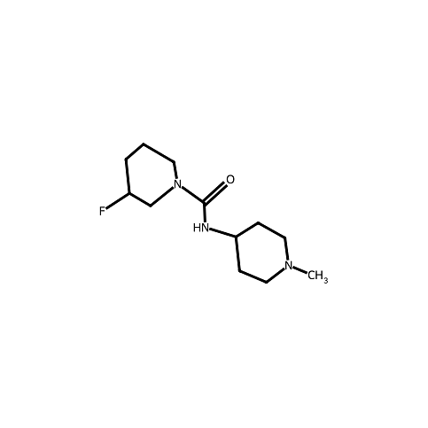 CN1CCC(NC(=O)N2CCCC(F)C2)CC1